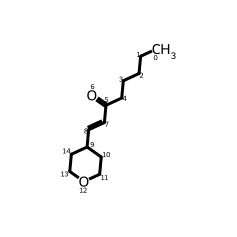 CCCCCC(=O)C=CC1CCOCC1